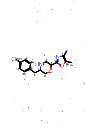 Cc1nc(C2CNC(Cc3ccc(Cl)cc3)CO2)oc1C